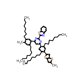 CCCCCCCCc1cc(-c2cc(-c3cc(CCCCCCCC)c(-c4cc5sc(C)cc5s4)cc3CCCCCCCC)nc(-c3nc4ccccc4s3)n2)c(CCCCCCCC)cc1C